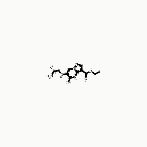 CCOC(=O)c1cnn2cc(OC[C@@H](C)N)c(Cl)nc12